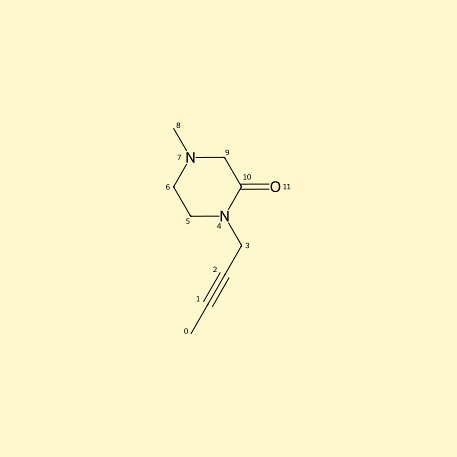 CC#CCN1CCN(C)CC1=O